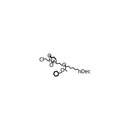 CCCCCCCCCCCCCCCC(OCCCn1ccc(=O)n(CCCl)c1=O)C(C)OCc1ccccc1